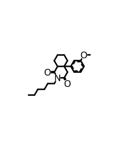 CCCCCCN1C(=O)CC2(c3cccc(OC)c3)CCCCC2C1=O